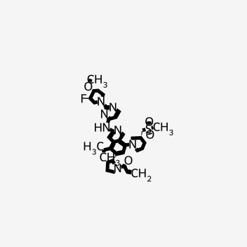 C=CC(=O)N1CCC[C@@H]1c1cc(N2CCC[C@@H](CS(C)(=O)=O)C2)c2cnc(Nc3ccnc(N4CC[C@@H](OC)[C@@H](F)C4)n3)cc2c1C(C)C